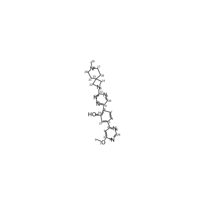 COc1cc(-c2ccc(-c3cnc(N4CC5(CCN(C)CC5)C4)nn3)c(O)c2)ncn1